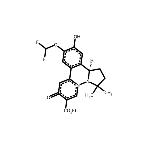 CCOC(=O)c1cn2c(cc1=O)-c1cc(OC(F)F)c(O)cc1[C@H]1CCC(C)(C)N12